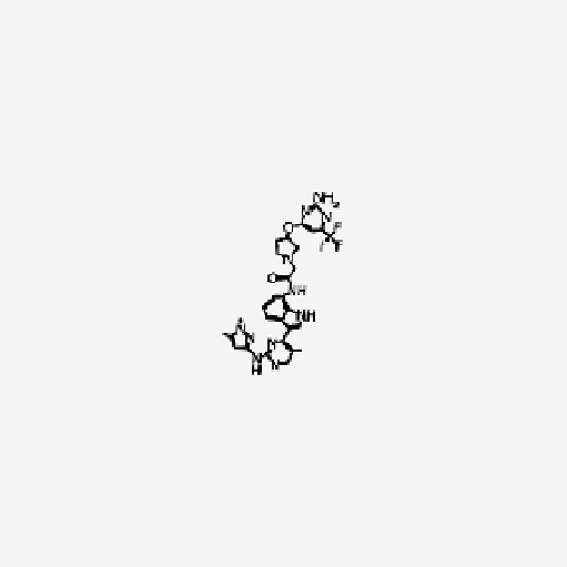 Cc1cnc(Nc2cc(C)n(C)n2)nc1-c1c[nH]c2c(NC(=O)CN3CCC(Oc4cc(C(F)(F)F)nc(N)n4)C3)cccc12